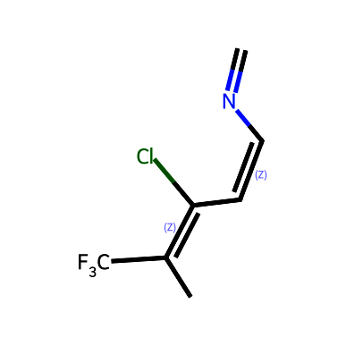 C=N/C=C\C(Cl)=C(/C)C(F)(F)F